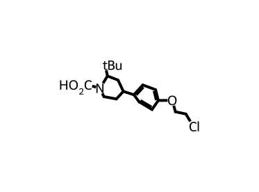 CC(C)(C)C1CC(c2ccc(OCCCl)cc2)CCN1C(=O)O